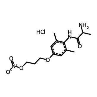 Cc1cc(OCCCO[N+](=O)[O-])cc(C)c1NC(=O)C(C)N.Cl